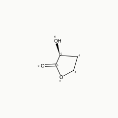 O=C1OCC[C@@H]1O